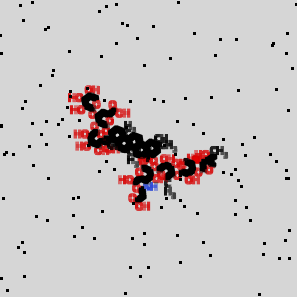 CC[C@]1(O)CO[C@@H](OC2C(O)[C@H](O[C@H]3C(C)O[C@@H](OC4C(O)[C@@H](NC(=O)CC(=O)O)C(CO)O[C@H]4OC(=O)[C@]45CCC(C)(C)CC4C4=CCC6C7(C)CC[C@H](O[C@@H]8OC(C(=O)O)C[C@H](O[C@@H]9OC[C@@H](O)[C@H](O)C9O)C8O[C@@H]8OC(CO)[C@H](O)[C@H](O)C8O)[C@](C)(C=O)[C@@H]7CC[C@]6(C)[C@]4(C)CC5O)C(O)C3O)OC[C@H]2O)C1O